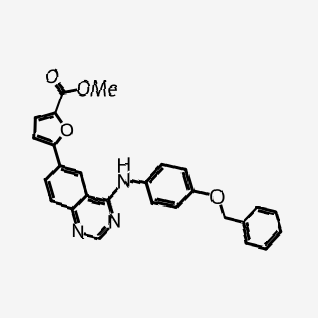 COC(=O)c1ccc(-c2ccc3ncnc(Nc4ccc(OCc5ccccc5)cc4)c3c2)o1